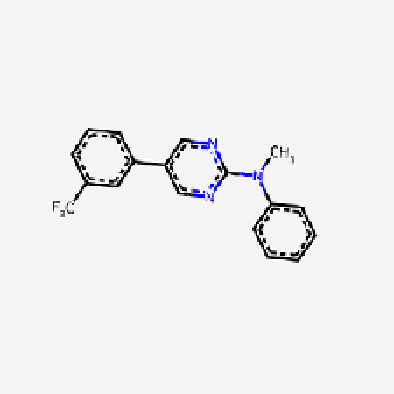 CN(c1ccccc1)c1ncc(-c2cccc(C(F)(F)F)c2)cn1